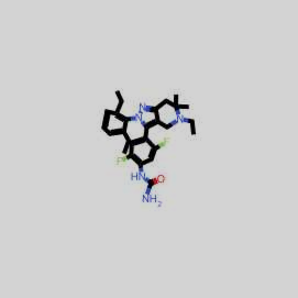 CCc1cccc(CC)c1-n1nc2c(c1-c1cc(F)c(NC(N)=O)cc1F)CN(CC)C(C)(C)C2